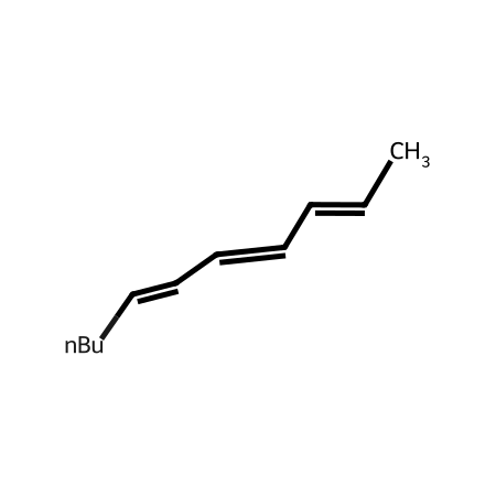 [CH2]CCC/C=C/C=C/C=C/C